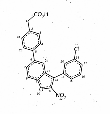 O=C(O)Cc1ccc(-c2ccc3oc([N+](=O)[O-])c(-c4cccc(Cl)c4)c3c2)cc1